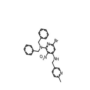 Cc1ccc(CNc2cc(Br)nc(N(Cc3ccccc3)Cc3ccccc3)c2[N+](=O)[O-])cn1